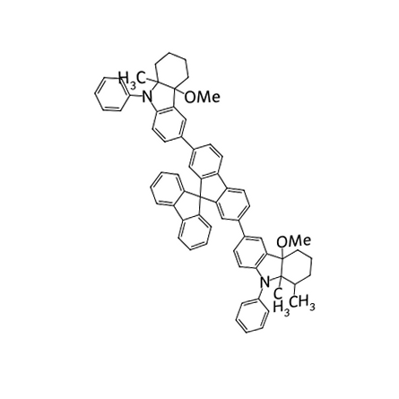 COC12CCCCC1(C)N(c1ccccc1)c1ccc(-c3ccc4c(c3)C3(c5ccccc5-c5ccccc53)c3cc(-c5ccc6c(c5)C5(OC)CCCC(C)C5(C)N6c5ccccc5)ccc3-4)cc12